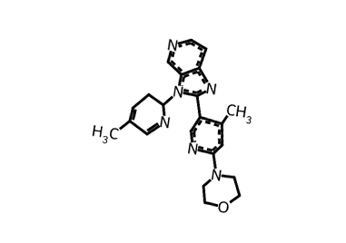 CC1=CCC(n2c(-c3cnc(N4CCOCC4)cc3C)nc3ccncc32)N=C1